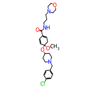 COC1(OC2CCN(Cc3ccc(Cl)cc3)CC2)C=CC(C(=O)NCCCN2CCOCC2)=CC1